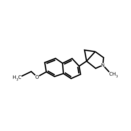 CCOc1ccc2cc(C34CC3CN(C)C4)ccc2c1